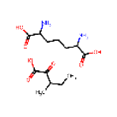 CCC(C)C(=O)C(=O)O.NC(CCCC(N)C(=O)O)C(=O)O